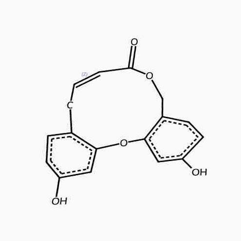 O=C1/C=C\Cc2ccc(O)cc2Oc2cc(O)ccc2CO1